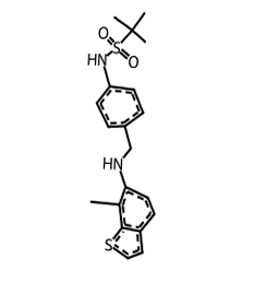 Cc1c(NCc2ccc(NS(=O)(=O)C(C)(C)C)cc2)ccc2ccsc12